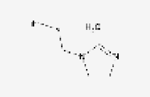 CC(C)CCn1ccnc1.O